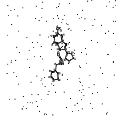 Cc1nc(C(F)(F)F)nc2nc(N3CCC[C@@H]3C(=O)NCc3ccccc3)sc12